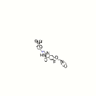 O=c1[nH]c(/C=C/C2CC=C([N+](=O)[O-])O2)nc2cc(OCCN3CCOCC3)c(F)cc12